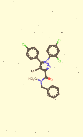 Cc1c(C(=O)N(Cc2ccccc2)C(=O)O)nn(-c2ccc(Cl)cc2Cl)c1-c1ccc(Cl)cc1